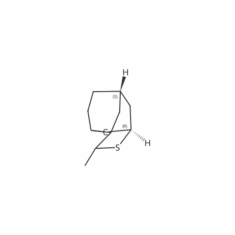 CC1S[C@H]2CC3CC[C@@H](CC31)C2